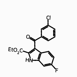 CCOC(=O)c1[nH]c2cc(F)ccc2c1C(=O)c1cccc(Cl)c1